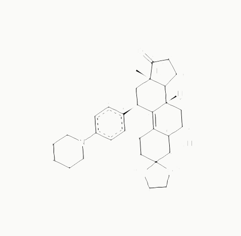 C[C@]12C[C@H](c3ccc(N4CCCCC4)cc3)C3=C4CCC5(C[C@]4(O)CC[C@H]3[C@@H]1CCC2=O)OCCO5